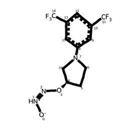 [O-]/[NH+]=N\O[C@@H]1CCN(c2cc(C(F)(F)F)cc(C(F)(F)F)c2)C1